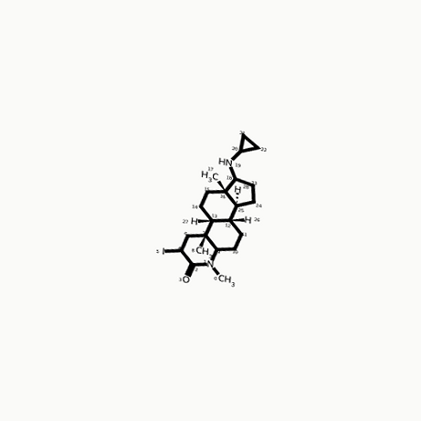 CN1C(=O)C(I)C[C@@]2(C)C1CC[C@@H]1[C@H]2CC[C@]2(C)C(NC3CC3)CC[C@@H]12